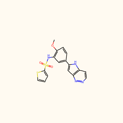 COc1ccc(-c2cc3nnccc3[nH]2)cc1NS(=O)(=O)c1cccs1